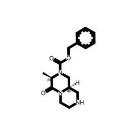 C[C@@H]1C(=O)N2CCNC[C@@H]2CN1C(=O)OCc1ccccc1